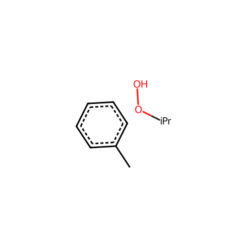 CC(C)OO.Cc1ccccc1